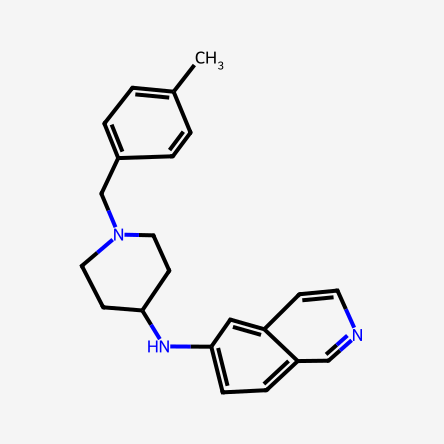 Cc1ccc(CN2CCC(Nc3ccc4cnccc4c3)CC2)cc1